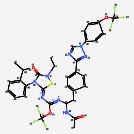 CCn1s/c(=N\C(=N\C(Cc2ccc(-c3ncn(-c4ccc(OC(F)(F)F)cc4)n3)cc2)NC(C)=O)OC(F)(F)F)n(-c2ccccc2C(C)C)c1=O